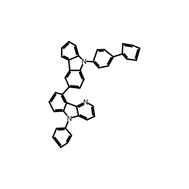 c1ccc(-c2ccc(-n3c4ccccc4c4cc(-c5cccc6c5c5ncccc5n6-c5ccccc5)ccc43)cc2)cc1